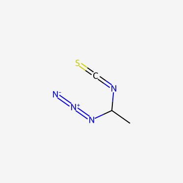 CC(N=C=S)N=[N+]=[N-]